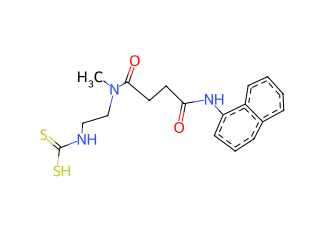 CN(CCNC(=S)S)C(=O)CCC(=O)Nc1cccc2ccccc12